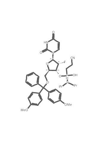 COc1ccc(C(OC[C@H]2O[C@@H](n3ccc(=O)[nH]c3=O)[C@H](F)[C@@H]2O[PH](O)(CCC#N)N(C(C)C)C(C)C)(c2ccccc2)c2ccc(OC)cc2)cc1